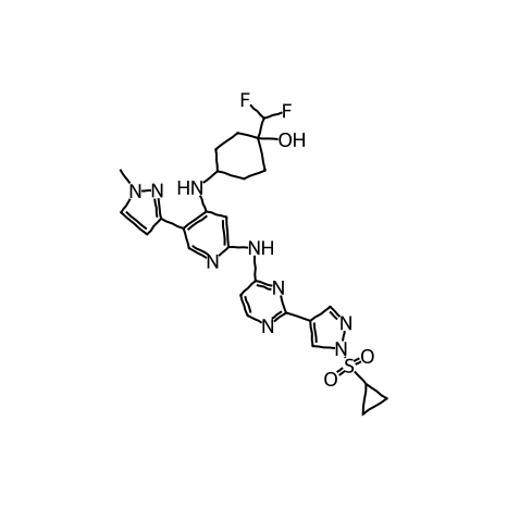 Cn1ccc(-c2cnc(Nc3ccnc(-c4cnn(S(=O)(=O)C5CC5)c4)n3)cc2NC2CCC(O)(C(F)F)CC2)n1